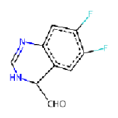 O=CC1NC=Nc2cc(F)c(F)cc21